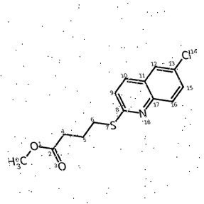 COC(=O)CCCSc1ccc2cc(Cl)ccc2n1